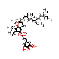 CC(C)=CCCC(C)=CCCC(C)=CCC[C@]1(C)CCc2cc(OC(=O)C=Cc3ccc(O)c(O)c3)c(C)c(C)c2O1